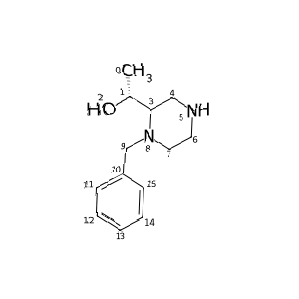 C[C@@H](O)C1CNCCN1Cc1ccccc1